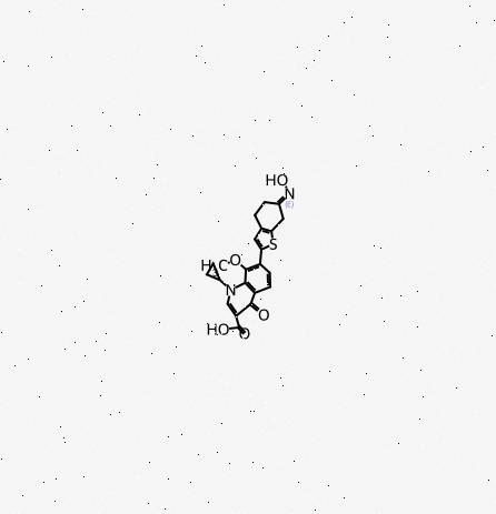 COc1c(-c2cc3c(s2)C/C(=N/O)CC3)ccc2c(=O)c(C(=O)O)cn(C3CC3)c12